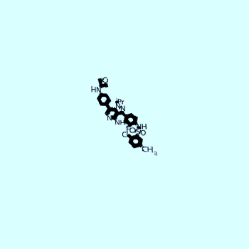 Cc1ccc(Cl)c(S(=O)(=O)Nc2ccc(-c3nn(C(C)C)c4c(C5=CCC(NC6COC6)CC5)cnc(N)c34)cc2F)c1